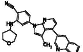 Cc1cn(-c2ccc(C#N)c(NC3CCOCC3)c2)c2nccc(-c3cnc4ccccc4c3)c12